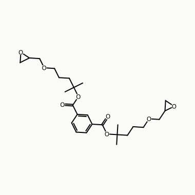 CC(C)(CCCOCC1CO1)OC(=O)c1cccc(C(=O)OC(C)(C)CCCOCC2CO2)c1